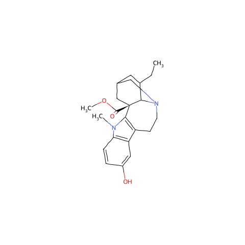 CCC1CC2CN3CCc4c(n(C)c5ccc(O)cc45)[C@](C(=O)OC)(C2)C13